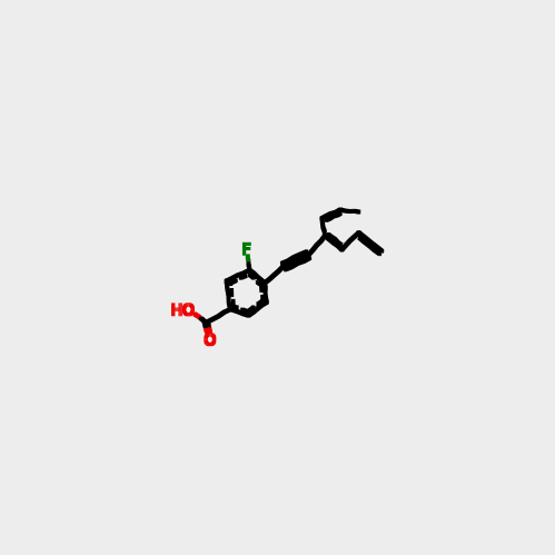 C=C/C=C(C#Cc1ccc(C(=O)O)cc1F)\C=C/C